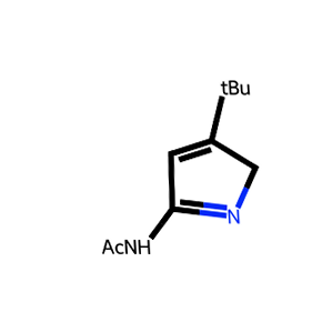 CC(=O)NC1=NCC(C(C)(C)C)=C1